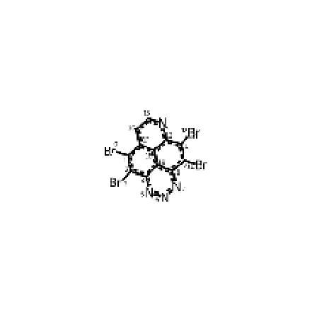 Brc1c(Br)c2nnnc3c(Br)c(Br)c4nccc1c4c23